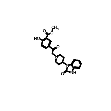 COC(=O)c1cc(C(=O)CN2CCC(n3c(=O)[nH]c4ccccc43)CC2)ccc1O